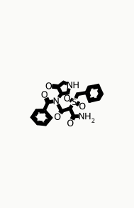 NC(=O)C(C(=O)N(C(=O)c1ccccc1)C1CNCC1=O)S(=O)(=O)Cc1ccccc1